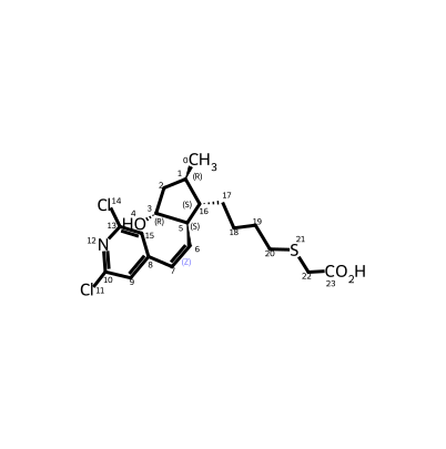 C[C@@H]1C[C@@H](O)[C@H](/C=C\c2cc(Cl)nc(Cl)c2)[C@H]1CCCCSCC(=O)O